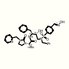 CC[C@H](C)[C@@H](C(=O)N[C@@H](Cc1ccccc1)[C@H](O)CN(CC(C)C)S(=O)(=O)c1ccc(/C=N/O)cc1)N1CCN(Cc2ccccn2)C1=O